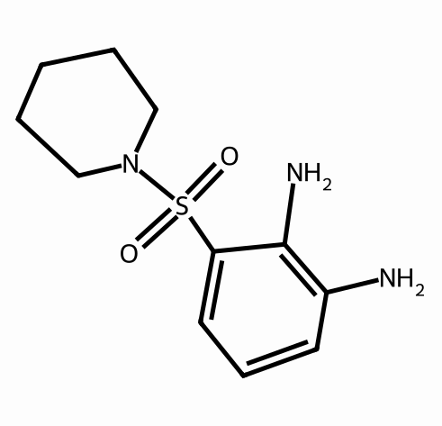 Nc1cccc(S(=O)(=O)N2CCCCC2)c1N